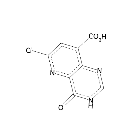 O=C(O)c1cc(Cl)nc2c(=O)[nH]cnc12